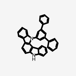 c1ccc(-c2cc(-c3ccccc3)cc(-n3c4ccccc4c4ccc5[nH]c6ccccc6c5c43)c2)cc1